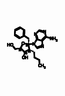 CCCC[C@@H]1[C@H](O)[C@@H](CO)O[C@@]1(Cc1ccccc1)n1cnc2c(N)ncnc21